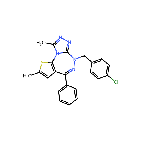 Cc1cc2c(s1)-n1c(C)nnc1N(Cc1ccc(Cl)cc1)N=C2c1ccccc1